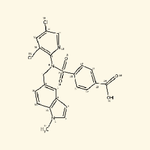 Cn1ccc2cc(CN(c3ncc(Cl)cc3Cl)S(=O)(=O)c3ccc(C(=O)O)cc3)ccc21